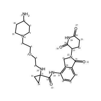 NC1CCN(CCOCCNC2(C(=O)Nc3cccc4c3CN(C3CCC(=O)NC3=O)C4=O)CC2)CC1